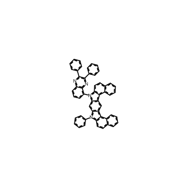 c1ccc(-c2nc3cccc(-n4c5cc6c(cc5c5c7ccccc7ccc54)c4c5ccccc5ccc4n6-c4ccccc4)c3nc2-c2ccccc2)cc1